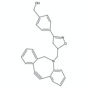 OCc1ccc(C2=NOC(CN3Cc4ccccc4C#Cc4ccccc43)C2)cc1